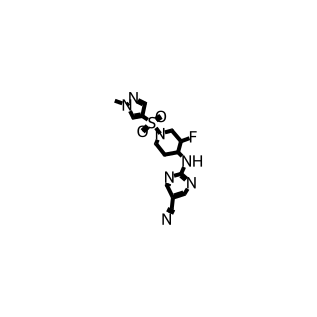 Cn1cc(S(=O)(=O)N2CCC(Nc3ncc(C#N)cn3)C(F)C2)cn1